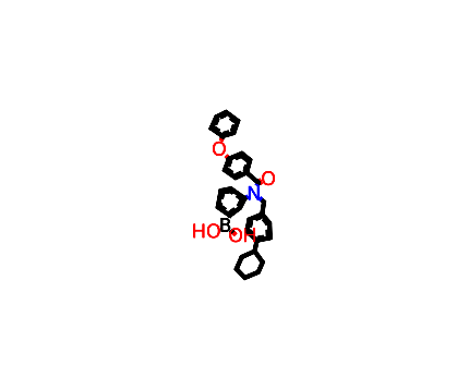 O=C(c1ccc(Oc2ccccc2)cc1)N(Cc1ccc(C2CCCCC2)cc1)c1cccc(B(O)O)c1